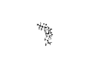 FC(F)=C(F)OC(F)(F)C(F)(F)C(F)(F)OC(F)(F)C(F)(F)C(F)(F)F